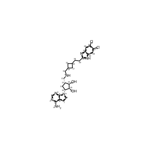 Nc1ncnc2c1ccn2[C@@H]1C[C@H](CNCC2CC(CCc3nc4cc(Cl)c(Cl)cc4[nH]3)C2)[C@@H](O)[C@H]1O